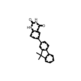 CC1(C)c2ccccc2-c2ccc(-c3ccc4[nH]c(=O)[nH]c(=O)c4c3)cc21